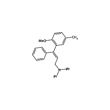 COc1ccc(C)cc1/C(=C/CN(C(C)C)C(C)C)c1ccccc1